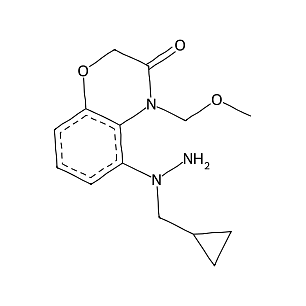 COCN1C(=O)COc2cccc(N(N)CC3CC3)c21